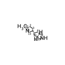 Cc1ccc(C2=C[C@@H]3CNC[C@@H]3C2)cn1